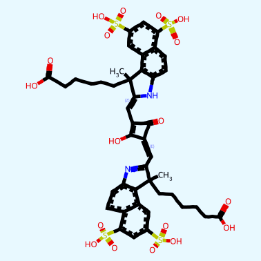 CC1(CCCCCC(=O)O)C(/C=C2/C(=O)C(/C=C3\Nc4ccc5c(S(=O)(=O)O)cc(S(=O)(=O)O)cc5c4C3(C)CCCCCC(=O)O)=C2O)=Nc2ccc3c(S(=O)(=O)O)cc(S(=O)(=O)O)cc3c21